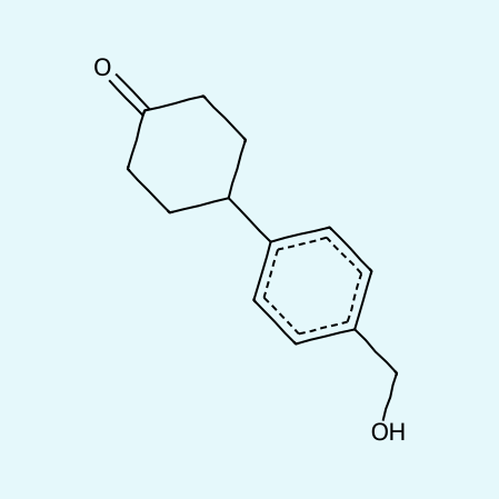 O=C1CCC(c2ccc(CO)cc2)CC1